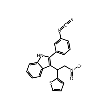 O=[N+]([O-])CC(c1cccs1)c1c(-c2cccc(N=C=S)c2)[nH]c2ccccc12